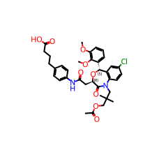 COc1cccc([C@H]2O[C@H](CC(=O)Nc3ccc(CCCC(=O)O)cc3)C(=O)N(CC(C)(C)COC(C)=O)c3ccc(Cl)cc32)c1OC